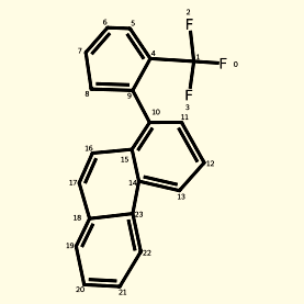 FC(F)(F)c1ccccc1-c1cccc2c1ccc1ccccc12